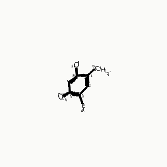 [CH2]c1cc(F)c(Cl)cc1Cl